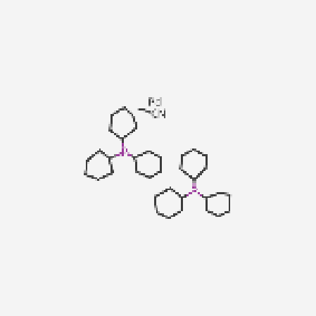 C1CCC(P(C2CCCCC2)C2CCCCC2)CC1.C1CCC(P(C2CCCCC2)C2CCCCC2)CC1.CC#N.[Pd]